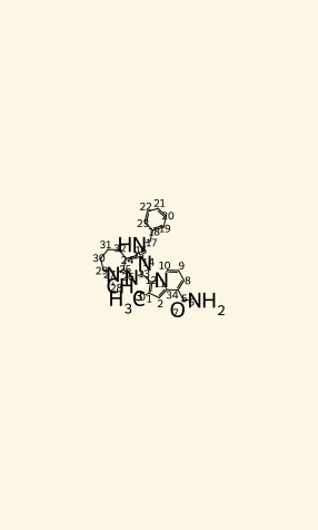 Cc1cc2c(C(N)=O)cccn2c1-c1nc(NCc2ccccc2)c2c(n1)N(C)CCCC2